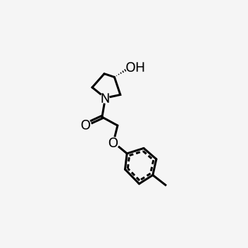 Cc1ccc(OCC(=O)N2CC[C@H](O)C2)cc1